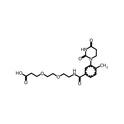 Cc1ccc(C(=O)NCCOCCOCCC(=O)O)cc1N1CCC(=O)NC1=O